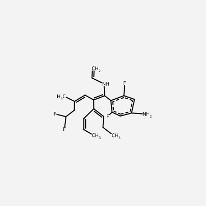 C=CN/C(=C(\C=C(\C)CC(F)F)C(/C=C\C)=C/CC)c1c(F)cc(N)cc1F